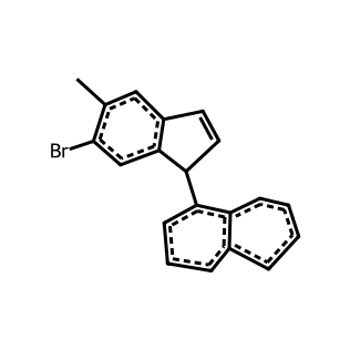 Cc1cc2c(cc1Br)C(c1cccc3ccccc13)C=C2